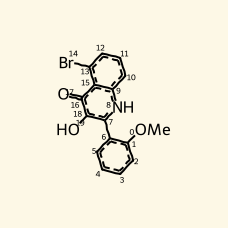 COc1ccccc1-c1[nH]c2cccc(Br)c2c(=O)c1O